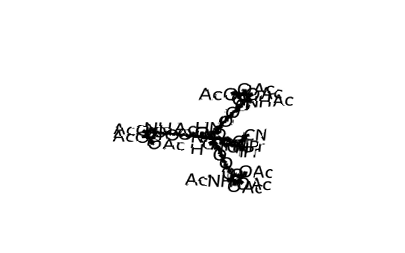 CC(=O)NC1C(OCCOCCOCCNC(=O)CN(CC(=O)NCCOCCOCCOC2OC(COC(C)=O)C(OC(C)=O)C(OC(C)=O)C2NC(C)=O)C(Cc2ccc(OP(OCCC#N)N(C(C)C)C(C)C)cc2)C(=O)NCCOCCOCCO[C@@H]2OC(COC(C)=O)C(OC(C)=O)C(OC(C)=O)C2NC(C)=O)OC(COC(C)=O)C(OC(C)=O)C1OC(C)=O